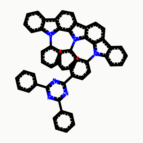 c1ccc(-c2nc(-c3ccccc3)nc(-c3ccc(-n4c5ccccc5c5ccc6c7ccc8c9ccccc9n(-c9ccccc9)c8c7n(-c7ccccc7)c6c54)cc3)n2)cc1